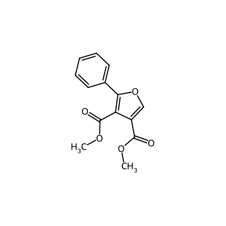 COC(=O)c1coc(-c2ccccc2)c1C(=O)OC